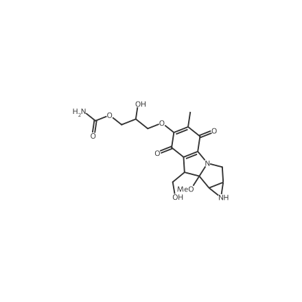 COC12C(CO)C3=C(C(=O)C(C)=C(OCC(O)COC(N)=O)C3=O)N1CC1NC12